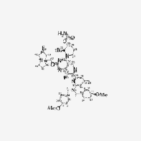 COc1ccc(CN(Cc2ccc(OC)cc2)c2cc(C)cc(-c3ncc4c(N5CCCC(OC(N)=O)[C@@H]5C(C)(C)C)nc(OC[C@@]56CCCN5C[C@H](F)C6)nc4c3F)n2)cc1